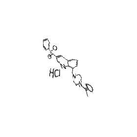 CC(=O)N1CCN(Cc2cccc3cc(S(=O)(=O)c4ccccc4)cnc23)CC1.Cl